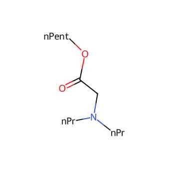 CCCCCOC(=O)CN(CCC)CCC